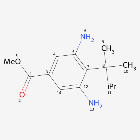 COC(=O)c1cc(N)c(C(C)(C)C(C)C)c(N)c1